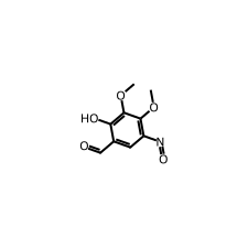 COc1c(N=O)cc(C=O)c(O)c1OC